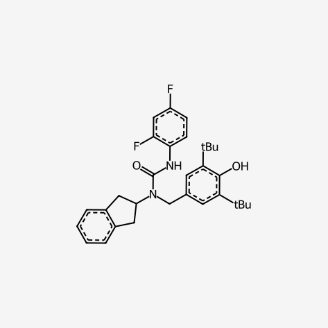 CC(C)(C)c1cc(CN(C(=O)Nc2ccc(F)cc2F)C2Cc3ccccc3C2)cc(C(C)(C)C)c1O